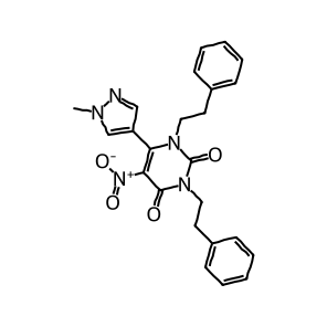 Cn1cc(-c2c([N+](=O)[O-])c(=O)n(CCc3ccccc3)c(=O)n2CCc2ccccc2)cn1